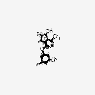 N#Cc1cc(F)cc(Oc2nnc(C(F)(F)F)c3c2C[C@@H](F)[C@H]3O)c1